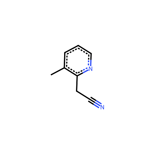 Cc1cccnc1CC#N